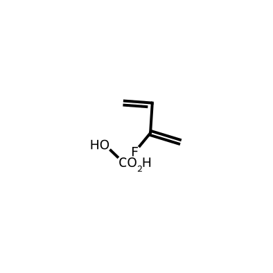 C=CC(=C)F.O=C(O)O